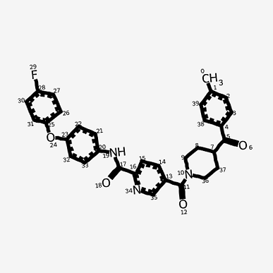 Cc1ccc(C(=O)C2CCN(C(=O)c3ccc(C(=O)Nc4ccc(Oc5ccc(F)cc5)cc4)nc3)CC2)cc1